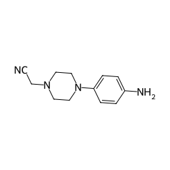 N#CCN1CCN(c2ccc(N)cc2)CC1